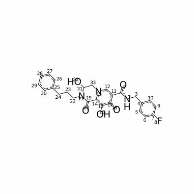 O=C(NCc1ccc(F)cc1)c1cn2c(c(O)c1=O)C(=O)N(CCCc1ccccc1)C(O)C2